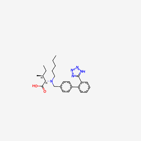 CCCCCN(Cc1ccc(-c2ccccc2-c2nnn[nH]2)cc1)[C@H](C(=O)O)[C@@H](C)CC